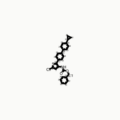 C[C@@H](OC(=O)Nc1cc(Cl)sc1-c1ccc(-c2ccc(C3CC3)cc2)cc1)c1ccccc1